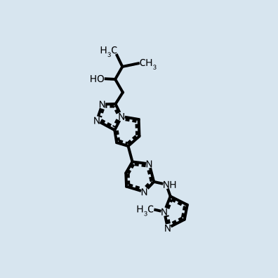 CC(C)C(O)Cc1nnc2cc(-c3ccnc(Nc4ccnn4C)n3)ccn12